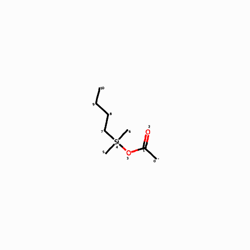 [CH2]C(=O)O[Si](C)(C)CCCC